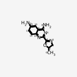 CC1CN=C(c2nc(N)c3cc(N)ccc3n2)O1